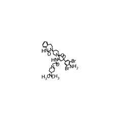 CN(C)C1CCN(CC(=O)N[C@H](CC(=O)c2cc(Br)c(N)c(Br)c2)C(=O)N2CCC(N3CCc4ccccc4NC3=O)CC2)CC1